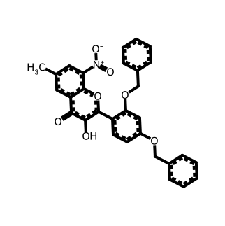 Cc1cc([N+](=O)[O-])c2oc(-c3ccc(OCc4ccccc4)cc3OCc3ccccc3)c(O)c(=O)c2c1